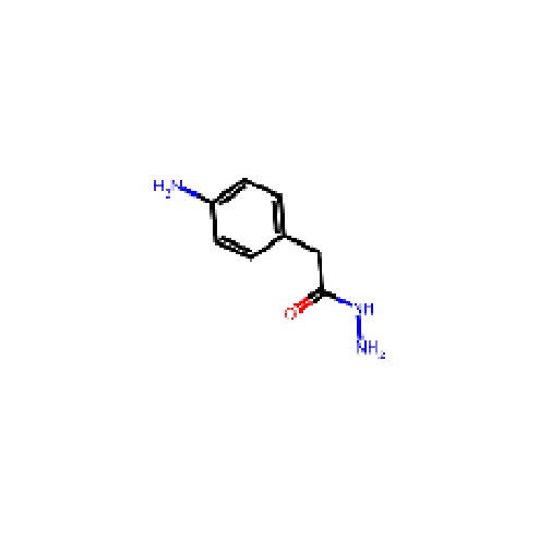 NNC(=O)Cc1ccc(N)cc1